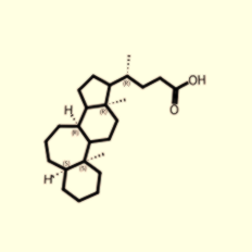 C[C@H](CCC(=O)O)C1CCC2[C@@H]3CCC[C@@H]4CCCC[C@]4(C)C3CC[C@@]21C